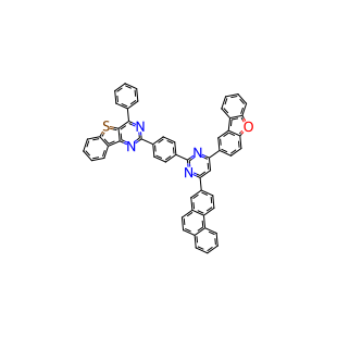 c1ccc(-c2nc(-c3ccc(-c4nc(-c5ccc6c(ccc7ccccc76)c5)cc(-c5ccc6oc7ccccc7c6c5)n4)cc3)nc3c2sc2ccccc23)cc1